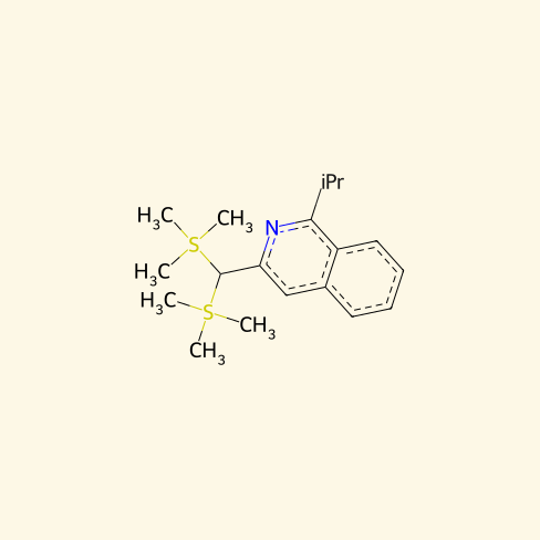 CC(C)c1nc(C(S(C)(C)C)S(C)(C)C)cc2ccccc12